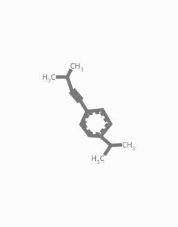 CC(C)C#Cc1ccc(C(C)C)cc1